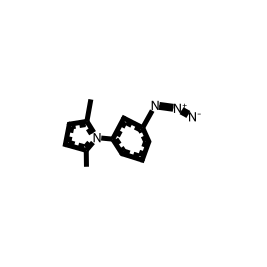 Cc1ccc(C)n1-c1cccc(N=[N+]=[N-])c1